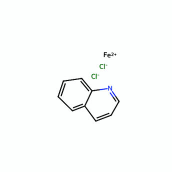 [Cl-].[Cl-].[Fe+2].c1ccc2ncccc2c1